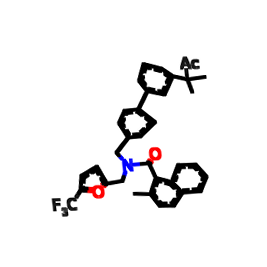 CC(=O)C(C)(C)c1cccc(-c2ccc(CN(Cc3ccc(C(F)(F)F)o3)C(=O)c3c(C)ccc4ccccc34)cc2)c1